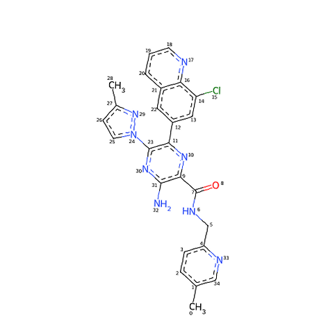 Cc1ccc(CNC(=O)c2nc(-c3cc(Cl)c4ncccc4c3)c(-n3ccc(C)n3)nc2N)nc1